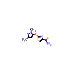 Cn1nc(C(F)(F)F)cc1Oc1nc(C(N)=O)cs1